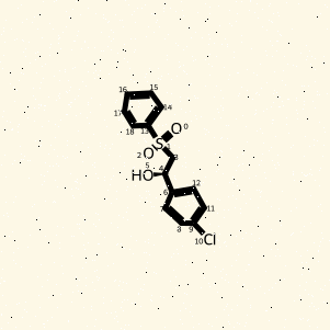 O=S(=O)(C[C@H](O)c1ccc(Cl)cc1)c1ccccc1